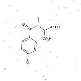 CC(C(=O)c1ccc(Cl)cc1)C(C(=O)O)C(=O)O